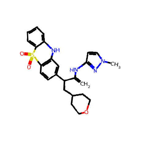 C=C(Nc1ccn(C)n1)C(CC1CCOCC1)c1ccc2c(c1)Nc1ccccc1S2(=O)=O